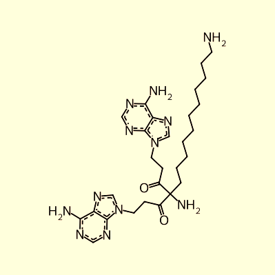 NCCCCCCCCCCCC(N)(C(=O)CCn1cnc2c(N)ncnc21)C(=O)CCn1cnc2c(N)ncnc21